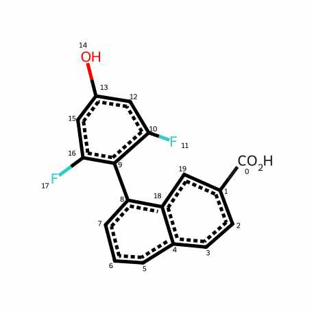 O=C(O)c1ccc2cccc(-c3c(F)cc(O)cc3F)c2c1